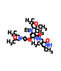 CCN(c1cc(O[C@H]2C[C@@H](N3C[C@@H](C)O[C@@H](C)C3)C2)cc(C(=O)NCc2c(C)cc(C)[nH]c2=O)c1C)[C@H]1C[C@@H](C)O[C@@H](C)C1